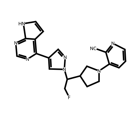 N#Cc1ncccc1N1CCC(C(CF)n2cc(-c3ncnc4[nH]ccc34)cn2)C1